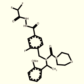 COc1ccccc1C(C)N(Cc1ccc(C(=O)NNC(=O)C(F)F)cc1F)C(=O)N1CCOCC1